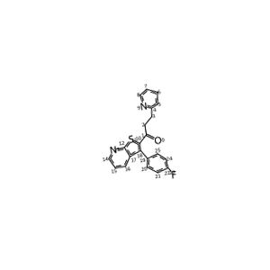 O=C(CCc1ccccn1)c1sc2ncccc2c1-c1ccc(F)cc1